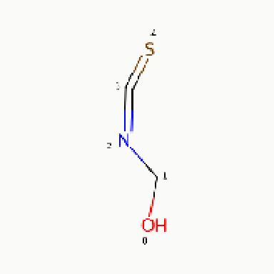 OCN=C=S